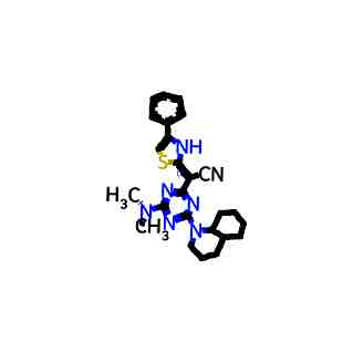 CN(C)c1nc(/C(C#N)=C2/NC(c3ccccc3)=CS2)nc(N2CCCC3CCCCC32)n1